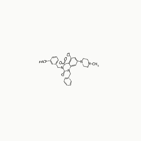 CN1CCN(c2cc(Cl)c3c(c2)N(Cc2ccccc2)C(=O)N(Cc2cccc(O)c2)S3(=O)=O)CC1